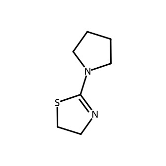 C1CCN(C2=NCCS2)C1